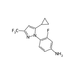 Nc1ccc(-n2nc(C(F)(F)F)cc2C2CC2)c(F)c1